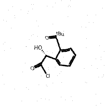 CC(C)(C)C(=O)c1ccccc1[C@@H](O)C(=O)Cl